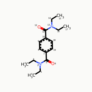 CCN(CC)C(=O)c1ccc(C(=O)N(CC)CC)cc1